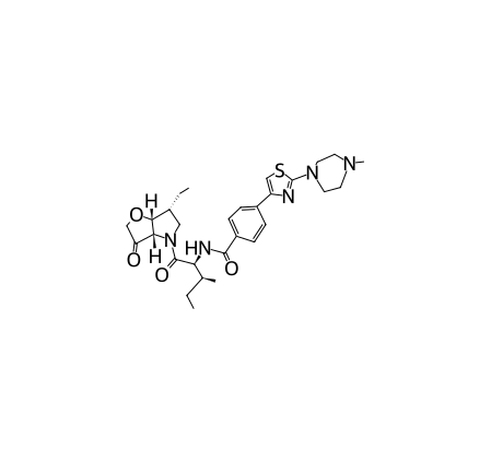 CC[C@@H]1CN(C(=O)[C@@H](NC(=O)c2ccc(-c3csc(N4CCN(C)CC4)n3)cc2)[C@@H](C)CC)[C@@H]2C(=O)CO[C@H]12